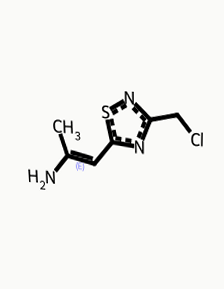 C/C(N)=C\c1nc(CCl)ns1